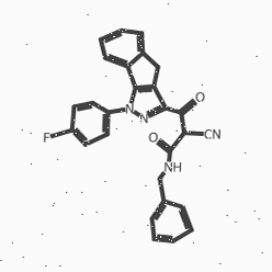 N#CC(C(=O)NCc1ccccc1)C(=O)c1nn(-c2ccc(F)cc2)c2c1Cc1ccccc1-2